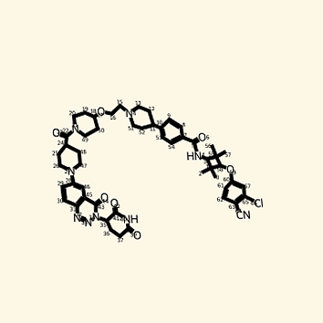 CC1(C)C(NC(=O)c2ccc(C3CCN(CCOC4CCN(C(=O)C5CCN(c6ccc7nnn(C8CCC(=O)NC8=O)c(=O)c7c6)CC5)CC4)CC3)cc2)C(C)(C)C1Oc1ccc(C#N)c(Cl)c1